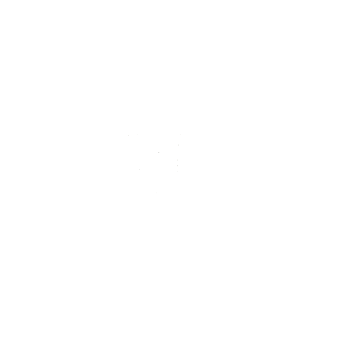 C1CCC2(C3CS3)SC2C1